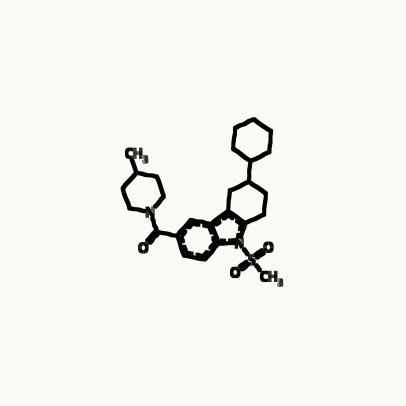 CC1CCN(C(=O)c2ccc3c(c2)c2c(n3S(C)(=O)=O)CCC(C3CCCCC3)C2)CC1